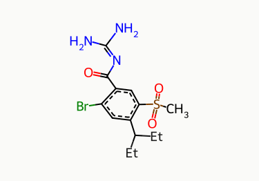 CCC(CC)c1cc(Br)c(C(=O)N=C(N)N)cc1S(C)(=O)=O